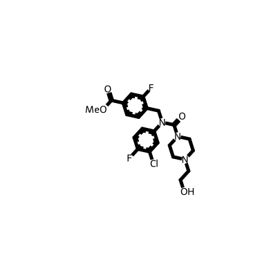 COC(=O)c1ccc(CN(C(=O)N2CCN(CCO)CC2)c2ccc(F)c(Cl)c2)c(F)c1